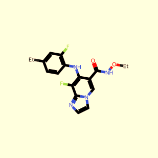 CCONC(=O)c1cn2ccnc2c(F)c1Nc1ccc(CC)cc1F